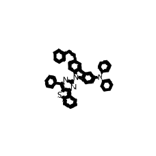 C(=C/c1ccc2c(c1)c1cc(N(c3ccccc3)c3ccccc3)ccc1n2-c1nc(-c2ccccc2)c2sc3ccccc3c2n1)/c1ccccc1